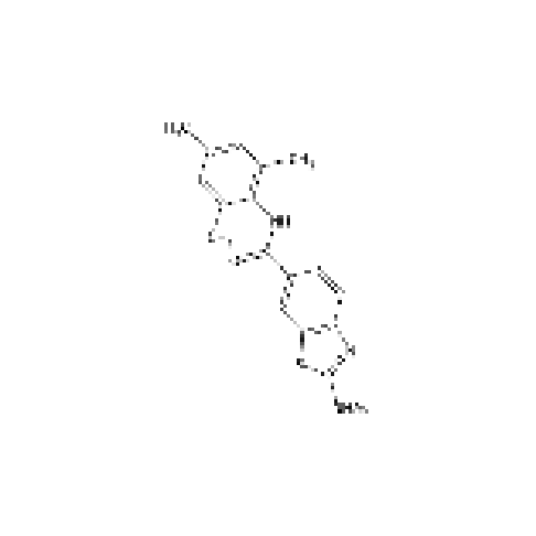 CC(=O)Nc1nc2ccc(C(=O)Nc3c(C)cc(C)cc3C)cc2s1